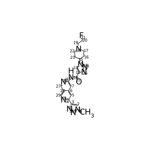 Cn1cc(-c2cc3cc(NC(=O)c4cn(C5CCN(CCF)CC5)nn4)ncc3cn2)nn1